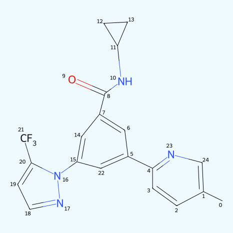 Cc1ccc(-c2cc(C(=O)NC3CC3)cc(-n3nccc3C(F)(F)F)c2)nc1